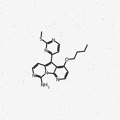 CCCCOc1ccnc2c1c(-c1ccnc(SC)n1)c1ccnc(N)n12